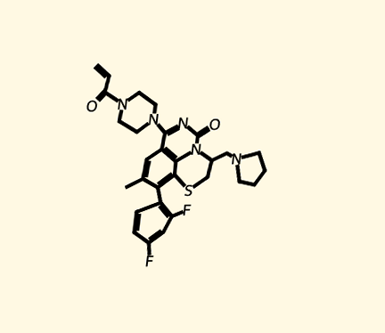 C=CC(=O)N1CCN(c2nc(=O)n3c4c(c(-c5ccc(F)cc5F)c(C)cc24)SCC3CN2CCCC2)CC1